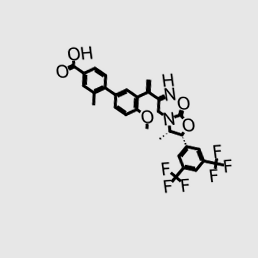 C=C(C(=N)CN1C(=O)O[C@H](c2cc(C(F)(F)F)cc(C(F)(F)F)c2)[C@@H]1C)c1cc(-c2ccc(C(=O)O)cc2C)ccc1OC